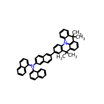 CC1(C)c2ccccc2N2c3ccc(-c4ccc5cc(N(c6cccc7ccccc67)c6cccc7ccccc67)ccc5c4)cc3C(C)(C)c3cccc1c32